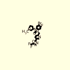 CN1CCC[C@@H](n2c(=O)n(Cc3ccc(-c4nnc(C(F)F)o4)cn3)c3cc(F)c(Br)cc32)C1